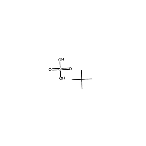 CC(C)(C)C.O=S(=O)(O)O